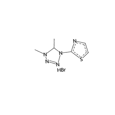 Br.CC1N(C)N=NN1c1nccs1